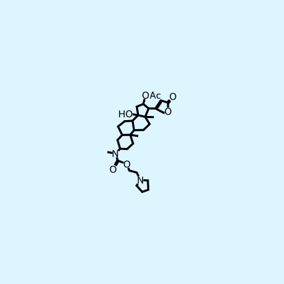 CC(=O)OC1CC2(O)C3CCC4CC(N(C)C(=O)OCCN5CCCC5)CCC4(C)C3CCC2(C)C1C1=CC(=O)OC1